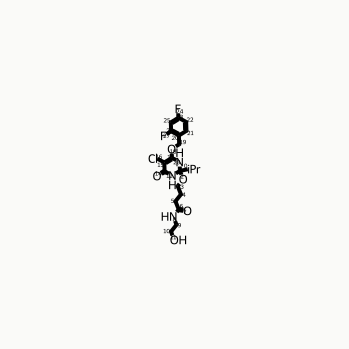 CC(C)C1(OCCCC(=O)NCCO)NC(=O)C(Cl)=C(OCc2ccc(F)cc2F)N1